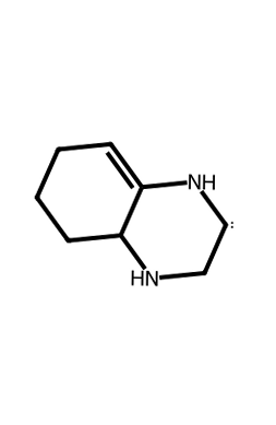 [C]1CNC2CCCC=C2N1